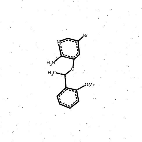 COc1ccccc1C(C)Oc1cc(Br)cnc1N